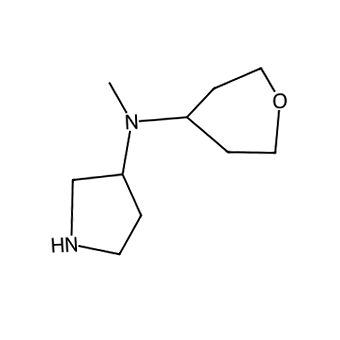 CN(C1CCOCC1)C1CCNC1